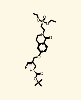 CCOP(=O)(CCN1CCc2cc(OC/C(=C/F)CNC(=O)OC(C)(C)C)ccc2C1=O)OCC